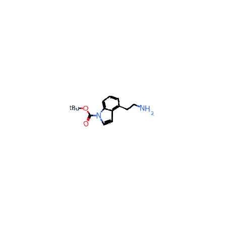 CC(C)(C)OC(=O)n1ccc2c(CCN)cccc21